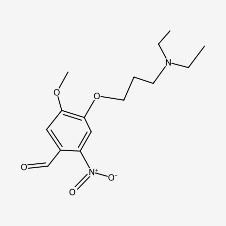 CCN(CC)CCCOc1cc([N+](=O)[O-])c(C=O)cc1OC